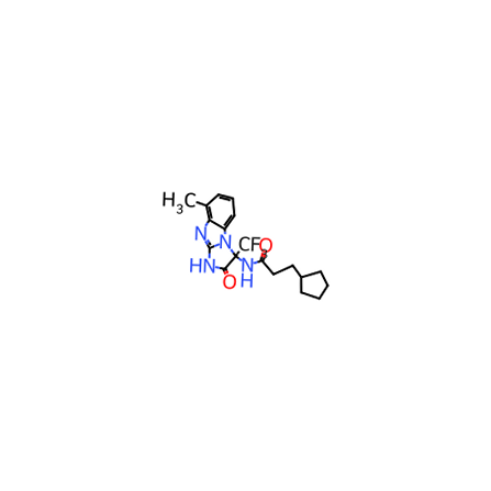 Cc1cccc2c1nc1n2C(NC(=O)CCC2CCCC2)(C(F)(F)F)C(=O)N1